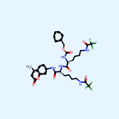 Cc1cc(=O)oc2cc(NC(=O)[C@H](CCCCNC(=O)C(F)(F)F)NC(=O)[C@H](CCCCNC(=O)C(F)(F)F)NC(=O)OCc3ccccc3)ccc12